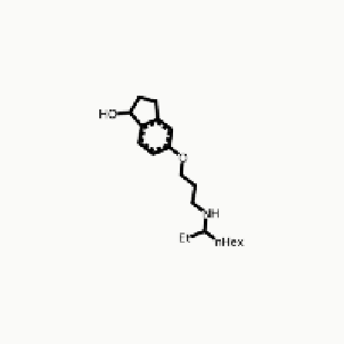 CCCCCCC(CC)NCCCOc1ccc2c(c1)CCC2O